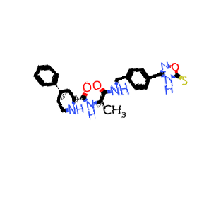 C[C@H](NC(=O)[C@H]1C[C@@H](c2ccccc2)CCN1)C(=O)NCc1ccc(-c2noc(=S)[nH]2)cc1